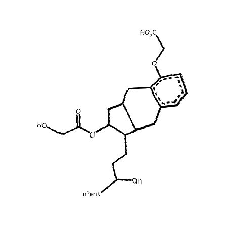 CCCCCC(O)CCC1C(OC(=O)CO)CC2Cc3c(cccc3OCC(=O)O)CC21